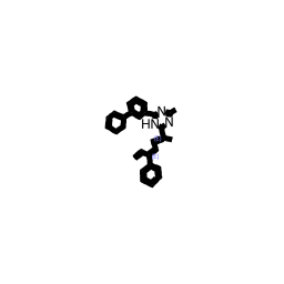 C=C/C(=C\C=C(/C)C1N=C(C)N=C(c2cccc(C3=CC=CCC3)c2)N1)c1ccccc1